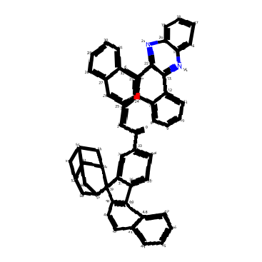 C=C(/C=C\C(=C/C)c1ccccc1-c1nc2ccccc2nc1-c1cccc2ccccc12)c1ccc2c(c1)C1(c3ccc4ccccc4c3-2)C2CC3CC(C2)CC1C3